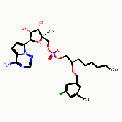 CCCCCCCCCCCCCCC[C@H](COP(=O)(O)OC[C@@]1(C#N)O[C@@H](c2ccc3c(N)ncnn23)[C@H](O)[C@@H]1O)OCc1cc(F)cc(C#N)c1